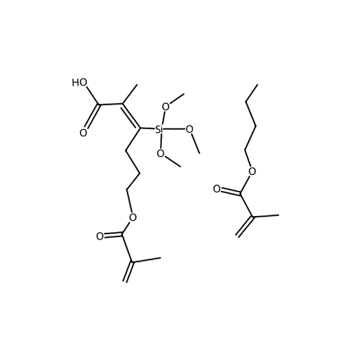 C=C(C)C(=O)OCCCC.C=C(C)C(=O)OCCCC(=C(C)C(=O)O)[Si](OC)(OC)OC